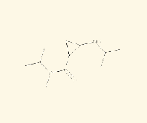 CC(C)NC1CC1C(=O)N(C)C(C)C